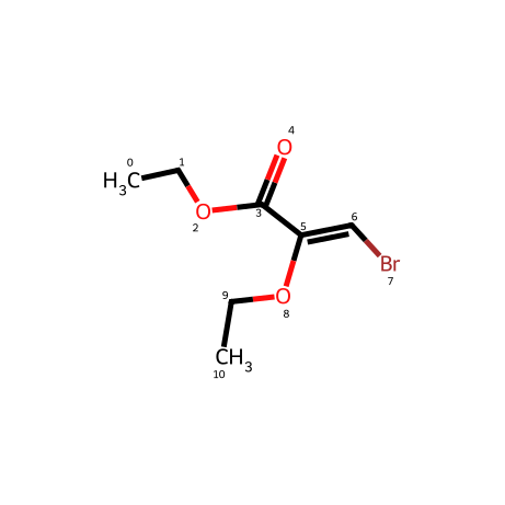 CCOC(=O)/C(=C/Br)OCC